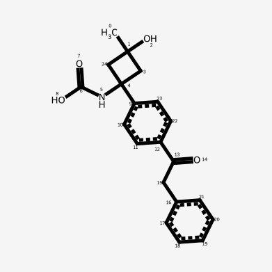 CC1(O)CC(NC(=O)O)(c2ccc(C(=O)Cc3ccccc3)cc2)C1